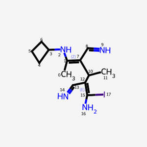 C/C(NC1CCC1)=C(/C=N)C(C)/C(C=N)=C(/N)I